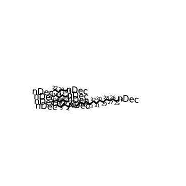 CCCCCCCCCCCCCCCCCCCCCCCC.CCCCCCCCCCCCCCCCCCCCCCCC.CCCCCCCCCCCCCCCCCCCCCCCC.CCCCCCCCCCCCCCCCCCCCCCCC.CCCCCCCCCCCCCCCCCCCCCCCC(=O)O